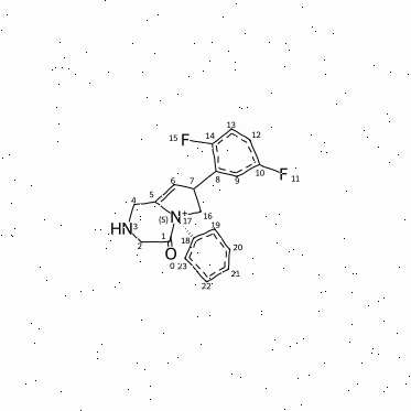 O=C1CNCC2=CC(c3cc(F)ccc3F)C[N@@+]12c1ccccc1